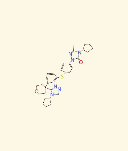 Cc1nn(-c2ccc(Sc3cccc(C4(c5nncn5C5CCCC5)CCOCC4)c3)cc2)c(=O)n1C1CCCC1